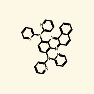 c1ccc(N(c2ccccn2)c2ccc(N(c3ccccn3)c3ccccn3)c3nc4c(ccc5ccccc54)nc23)nc1